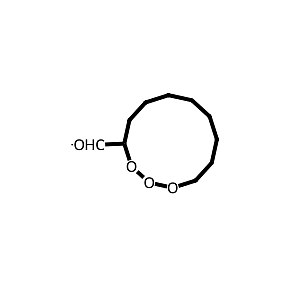 O=[C]C1CCCCCCCCOOO1